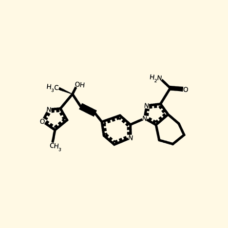 Cc1cc([C@](C)(O)C#Cc2ccnc(-n3nc(C(N)=O)c4c3CCCC4)c2)no1